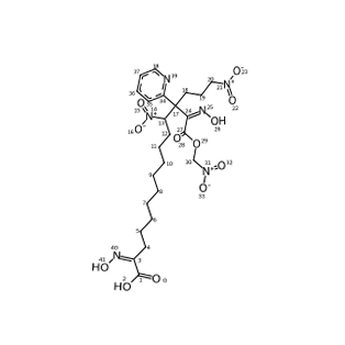 O=C(O)C(CCCCCCCCCC([N+](=O)[O-])C(CCC[N+](=O)[O-])(C(=NO)C(=O)OC[N+](=O)[O-])c1ccccn1)=NO